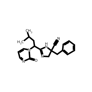 CC(C)CC(C1=NCC(C#N)(Cc2ccccc2)N1)n1cccnc1=O